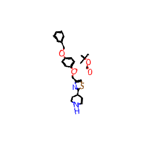 CC(C)(C)OC=O.c1ccc(COc2ccc(OCc3csc(C4CCNCC4)n3)cc2)cc1